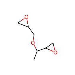 CC(OCC1CO1)C1CO1